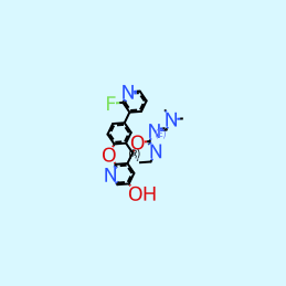 CN(C)/C=N/C1=NCC[C@@]2(O1)c1cc(-c3cccnc3F)ccc1Oc1ncc(O)cc12